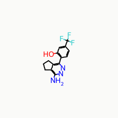 Nc1nnc(-c2ccc(C(F)(F)F)cc2O)c2c1CCC2